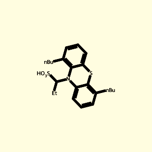 CCCCc1cccc2c1Sc1cccc(CCCC)c1N2C(CC)S(=O)(=O)O